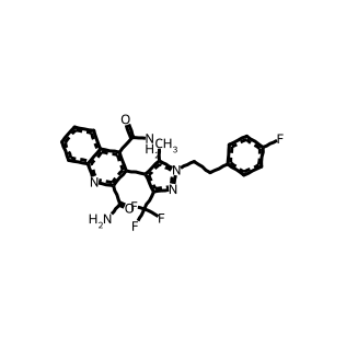 Cc1c(-c2c(C(N)=O)nc3ccccc3c2C(N)=O)c(C(F)(F)F)nn1CCc1ccc(F)cc1